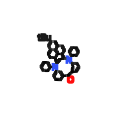 CC(C)(C)c1cc2ccc3c4cc(c5ccc(c1)c2c35)N(c1ccccc1)c1cccc(c1)C(=O)c1cccc(c1)N4c1ccccc1